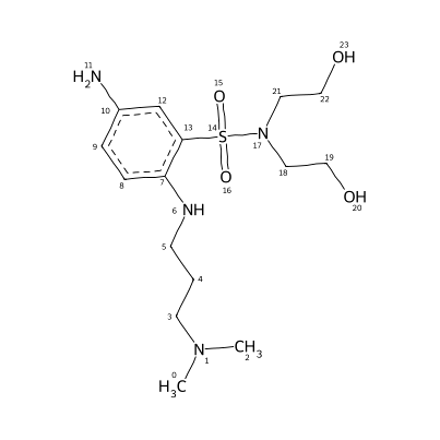 CN(C)CCCNc1ccc(N)cc1S(=O)(=O)N(CCO)CCO